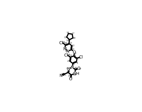 N#Cc1nn(-c2cc(Cl)c(Oc3cc(C4CCCC4)c(Cl)nn3)c(Cl)c2)c(=O)[nH]c1=O